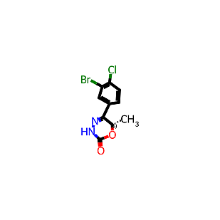 C[C@@H]1OC(=O)NN=C1c1ccc(Cl)c(Br)c1